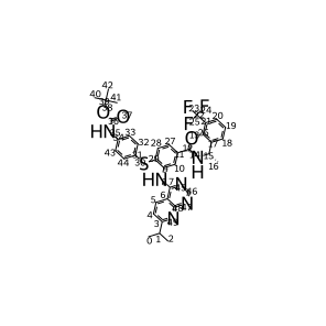 CC(C)c1ccc2c(Nc3cc(C(=O)N[C@@H](C)c4cccc(C(F)(F)F)c4)ccc3Sc3ccc(NC(=O)OC(C)(C)C)cc3)ncnc2n1